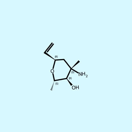 C=C[C@H]1C[C@](C)(N)[C@@H](O)[C@H](C)O1